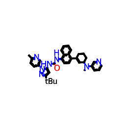 Cc1ccc(-n2nc(C(C)(C)C)cc2NC(=O)Nc2ccc(C3=CC(N(C)c4cccnc4)CCC3)c3ccccc23)cn1